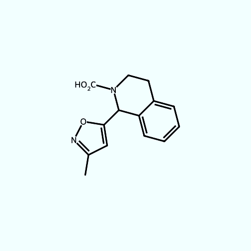 Cc1cc(C2c3ccccc3CCN2C(=O)O)on1